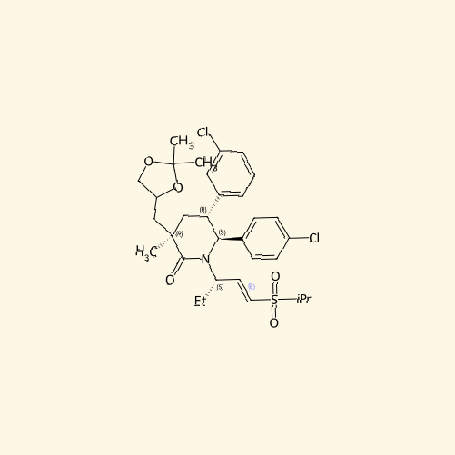 CC[C@@H](/C=C/S(=O)(=O)C(C)C)N1C(=O)[C@@](C)(CC2COC(C)(C)O2)C[C@H](c2cccc(Cl)c2)[C@H]1c1ccc(Cl)cc1